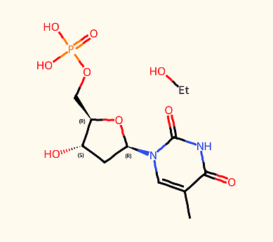 CCO.Cc1cn([C@H]2C[C@H](O)[C@@H](COP(=O)(O)O)O2)c(=O)[nH]c1=O